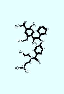 COC(=O)c1cc(NC=O)c(/C(C)=C(/Nc2ccc(C(=O)N(CCO)CCN(C)C)cc2)c2ccccc2)cc1C